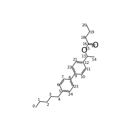 CCCCCc1ccc(-c2ccc(C(C)OC(=O)CCC)cc2)cc1